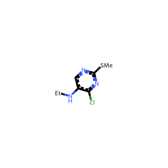 CCNc1cnc(SC)nc1Cl